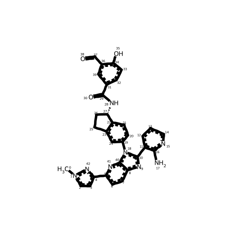 Cn1ccc(-c2ccc3nc(-c4cccnc4N)n(-c4ccc5c(c4)CC[C@@H]5NC(=O)c4ccc(O)c(C=O)c4)c3n2)n1